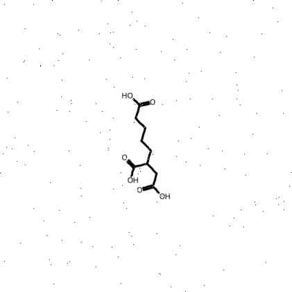 O=C(O)CCCCC(CC(=O)O)C(=O)O